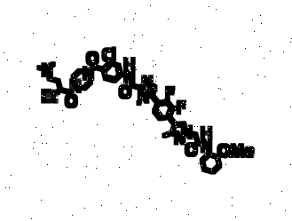 CCC(CCN(C)C)C(=O)N1CCN(C(=O)c2ccc(NC(=O)c3ncc(-c4ccc(-c5cn(CC(=O)N[C@H]6CCCC[C@@H]6OC)nc5C)c(F)c4F)n3C)cc2Cl)CC1